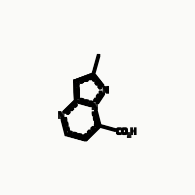 Cc1cc2nccc(C(=O)O)n2n1